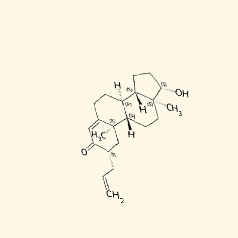 C=CC[C@H]1C[C@@]2(C)C(=CC1=O)CC[C@H]1[C@@H]3CC[C@H](O)[C@@]3(C)CC[C@@H]12